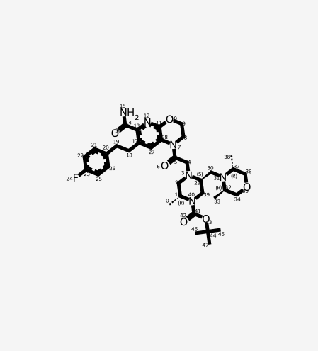 C[C@@H]1CN(CC(=O)N2CCOc3nc(C(N)=O)c(CCc4ccc(F)cc4)cc32)[C@@H](CN2[C@H](C)COC[C@H]2C)CN1C(=O)OC(C)(C)C